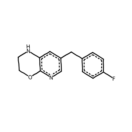 Fc1ccc(Cc2cnc3c(c2)NCCO3)cc1